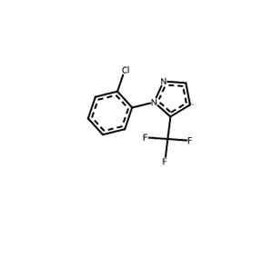 FC(F)(F)c1[c]cnn1-c1ccccc1Cl